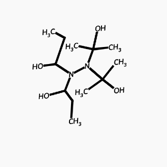 CCC(O)N(C(O)CC)N(C(C)(C)O)C(C)(C)O